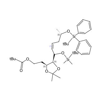 C[C@@H](C/C=C\C(O[Si](C)(C)C(C)(C)C)[C@H]1OC(C)(C)O[C@H]1CCOC(=O)C(C)(C)C)O[Si](c1ccccc1)(c1ccccc1)C(C)(C)C